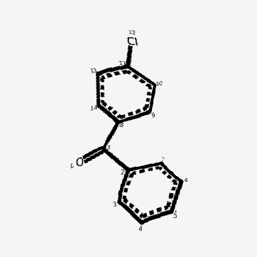 O=C(c1cc[c]cc1)c1ccc(Cl)cc1